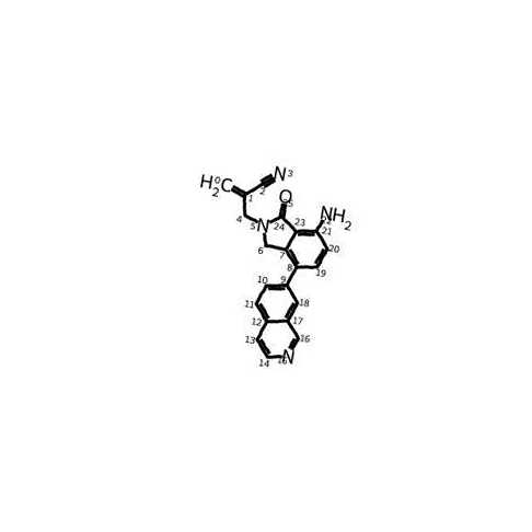 C=C(C#N)CN1Cc2c(-c3ccc4ccncc4c3)ccc(N)c2C1=O